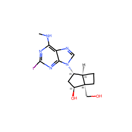 CNc1nc(I)nc2c1ncn2[C@H]1C[C@H](O)[C@]2(CO)CC[C@H]12